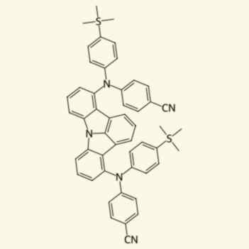 CS(C)(C)c1ccc(N(c2ccc(C#N)cc2)c2cccc3c2c2cccc4c5c(N(c6ccc(C#N)cc6)c6ccc(S(C)(C)C)cc6)cccc5n3c24)cc1